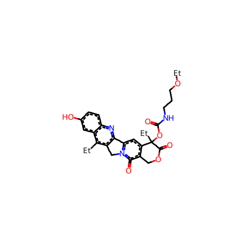 CCOCCCNC(=O)OC1(CC)C(=O)OCc2c1cc1n(c2=O)Cc2c-1nc1ccc(O)cc1c2CC